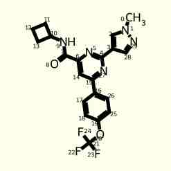 Cn1cc(-c2nc(C(=O)NC3CCC3)cc(-c3ccc(OC(F)(F)F)cc3)n2)cn1